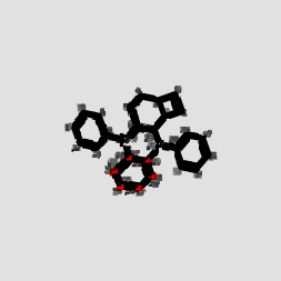 C1=CC2C1CCC(P(c1ccccc1)c1ccccc1)C2P(c1ccccc1)c1ccccc1